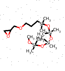 CO[Si](C)(C)O[Si](C)(C)O[Si](C)(C)O[Si](C)(C)CCCOCC1CO1